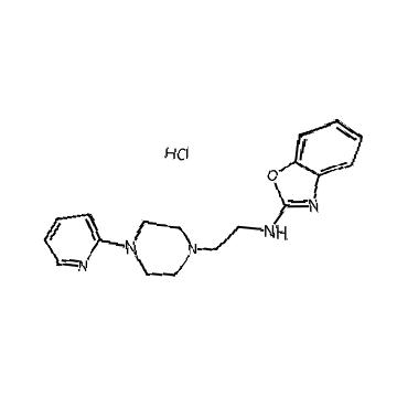 Cl.c1ccc(N2CCN(CCNc3nc4ccccc4o3)CC2)nc1